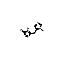 Cn1cncc1Cc1noc(=O)[nH]1